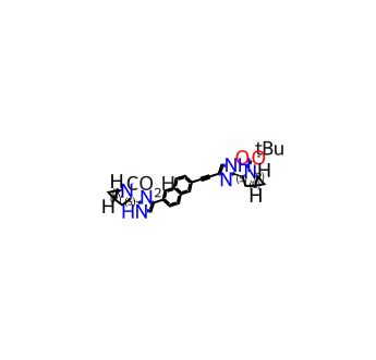 CC(C)(C)OC(=O)N1[C@@H]2C[C@@H]2C[C@H]1c1nc(C#Cc2ccc3cc(-c4c[nH]c([C@@H]5C[C@H]6C[C@H]6N5C(=O)O)n4)ccc3c2)c[nH]1